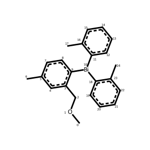 COCc1cc(C)cc[c]1[Bi]([c]1ccccc1C)[c]1ccccc1C